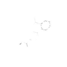 CC(C)c1ccccc1C1COC(C(=O)C=O)CO1